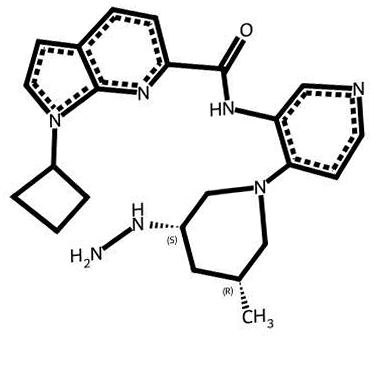 C[C@@H]1C[C@H](NN)CN(c2ccncc2NC(=O)c2ccc3ccn(C4CCC4)c3n2)C1